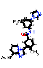 CC(=O)Nc1cccn2c(C3=C(C)C=CC(C(=O)Nc4cc(-n5ccnc5)cc(C(F)(F)F)c4)C3)cnc12